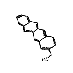 SCc1ccc2cc3cc4ccccc4cc3cc2c1